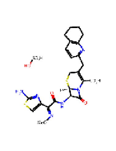 CON=C(C(=O)N[C@@H]1C(=O)N2C(C(=O)O)=C(Cc3ccc4c(n3)CCCC4)CS[C@H]12)c1csc(N)n1.O=S(=O)(O)O